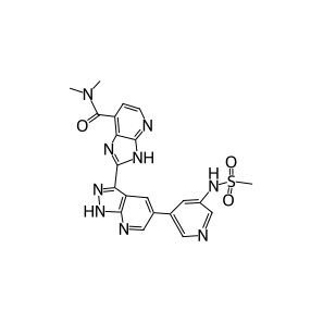 CN(C)C(=O)c1ccnc2[nH]c(-c3n[nH]c4ncc(-c5cncc(NS(C)(=O)=O)c5)cc34)nc12